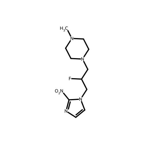 CN1CCN(CC(F)Cn2ccnc2[N+](=O)[O-])CC1